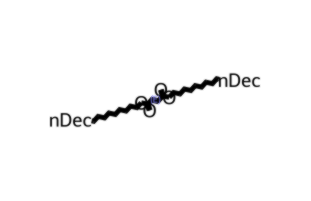 CCCCCCCCCCCCCCCCCCCOC(=O)/C=C/C(=O)OCCCCCCCCCCCCCCCCCCC